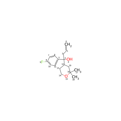 C=CCC(O)(c1ccc(F)cc1)C1CCOC(C)(C)C1